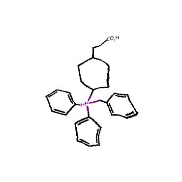 O=C(O)CC1CCC([PH](c2ccccc2)(c2ccccc2)c2ccccc2)CC1